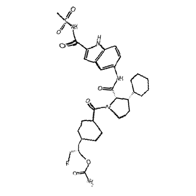 CS(=O)(=O)NC(=O)c1cc2cc(NC(=O)[C@@H]3[C@H](C4CCCCC4)CCN3C(=O)C3CCC([C@@H](CF)OC(N)=O)CC3)ccc2[nH]1